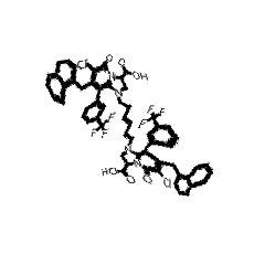 O=C(O)C1CN(CCCCCCN2CC(C(=O)O)n3c2c(-c2cccc(C(F)(F)F)c2)c(Cc2cccc4ccccc24)c(Cl)c3=O)c2c(-c3cccc(C(F)(F)F)c3)c(Cc3cccc4ccccc34)c(Cl)c(=O)n21